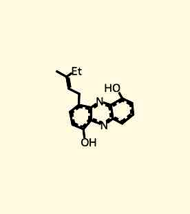 CC/C(C)=C\Cc1ccc(O)c2nc3cccc(O)c3nc12